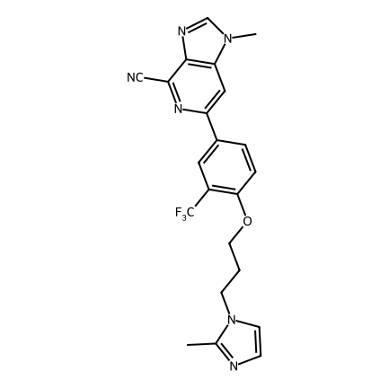 Cc1nccn1CCCOc1ccc(-c2cc3c(ncn3C)c(C#N)n2)cc1C(F)(F)F